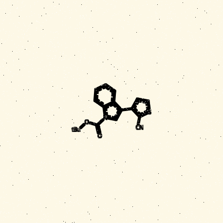 CC(C)(C)OC(=O)n1cc(-c2ccsc2C#N)c2ccccc21